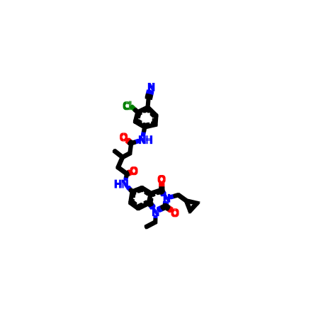 CCn1c(=O)n(CC2CC2)c(=O)c2cc(NC(=O)CC(C)CC(=O)Nc3ccc(C#N)c(Cl)c3)ccc21